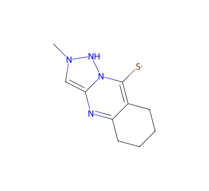 CN1C=C2N=C3CCCCC3=C([S])N2N1